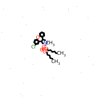 CCCCCCOP(=O)(OCCCCCC)OC[N+]1(C)CC2c3ccccc3Oc3ccc(Cl)cc3C2C1